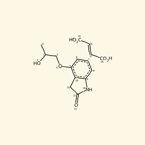 CC(O)COc1cccc2c1CC(=O)N2.O=C(O)/C=C/C(=O)O